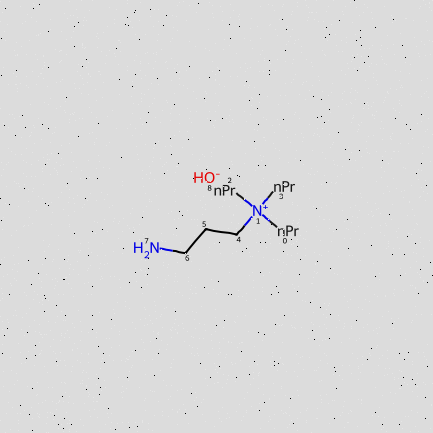 CCC[N+](CCC)(CCC)CCCN.[OH-]